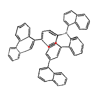 c1cc(-c2ccccc2N(c2ccc(-c3cc4ccccc4c4ccccc34)cc2)c2cccc3ccccc23)cc(-c2cccc3ccccc23)c1